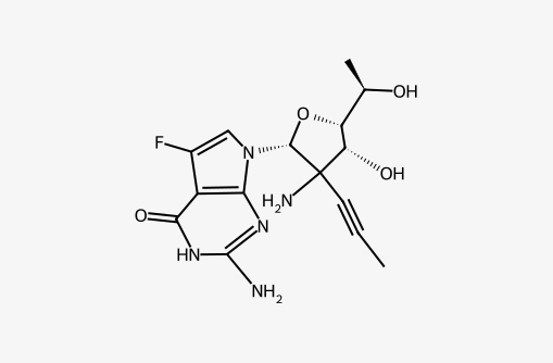 CC#CC1(N)[C@@H](O)[C@@H]([C@@H](C)O)O[C@H]1n1cc(F)c2c(=O)[nH]c(N)nc21